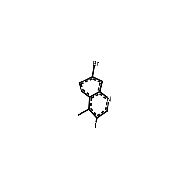 Cc1c(I)cnc2cc(Br)ccc12